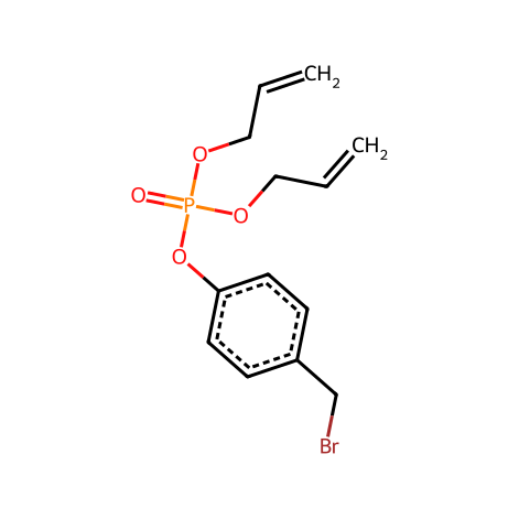 C=CCOP(=O)(OCC=C)Oc1ccc(CBr)cc1